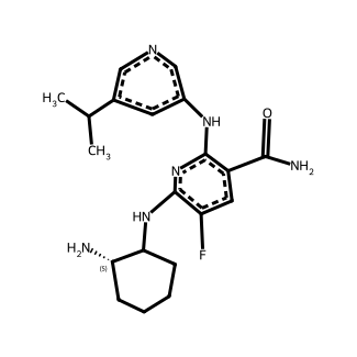 CC(C)c1cncc(Nc2nc(NC3CCCC[C@@H]3N)c(F)cc2C(N)=O)c1